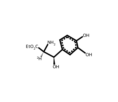 [2H][C@@](N)(C(=O)OCC)[C@H](O)c1ccc(O)c(O)c1